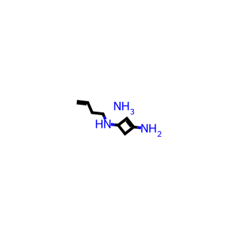 C=CCCNC1C=C(N)C1.N